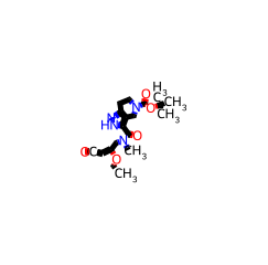 CCOC(=C=C=O)CN(C)C(=O)c1[nH]nc2c1CN(C(=O)OC(C)(C)C)CC2